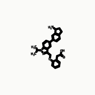 CC(C)n1nc(COc2ccccc2CC(=O)O)c2cc(-c3ccc4c(c3)C(N)CC4)ccc21